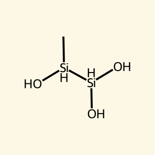 C[SiH](O)[SiH](O)O